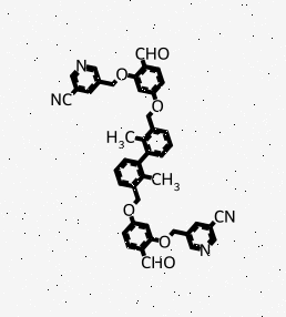 Cc1c(COc2ccc(C=O)c(OCc3cncc(C#N)c3)c2)cccc1-c1cccc(COc2ccc(C=O)c(OCc3cncc(C#N)c3)c2)c1C